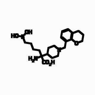 NC(CCCCB(O)O)(C(=O)O)C1CCN(Cc2cccc3c2OCCC3)CC1